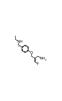 CCNSc1ccc(OC/C(=C/F)CN)cc1